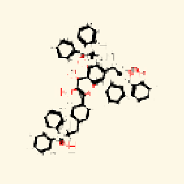 CC(C)(Cc1ccc(-c2oc3cc(CC(C)(C)[Si](O)(c4ccccc4)c4ccccc4)cc(O[Si](c4ccccc4)(c4ccccc4)C(C)(C)C)c3c(=O)c2O)cc1)[Si](O)(c1ccccc1)c1ccccc1